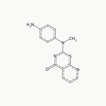 CN(c1ccc(N)cc1)c1nc(=O)c2cccnc2s1